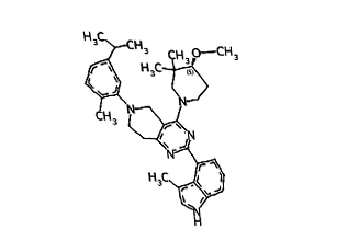 CO[C@H]1CCN(c2nc(-c3cccc4[nH]cc(C)c34)nc3c2CN(c2cc(C(C)C)ccc2C)CC3)CC1(C)C